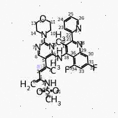 C=C(/C=C(\C)c1cnc(N2CCOCC2)nc1Nc1c(C)c(-c2ccccn2)nc2cc(F)cc(F)c12)NS(C)(=O)=O